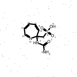 NC(=O)NC1(CS(=O)(=O)O)C=CC=CC=N1